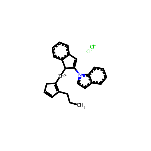 CCCC1=[C]([Zr+2][CH]2C(n3ccc4ccccc43)=Cc3ccccc32)CC=C1.[Cl-].[Cl-]